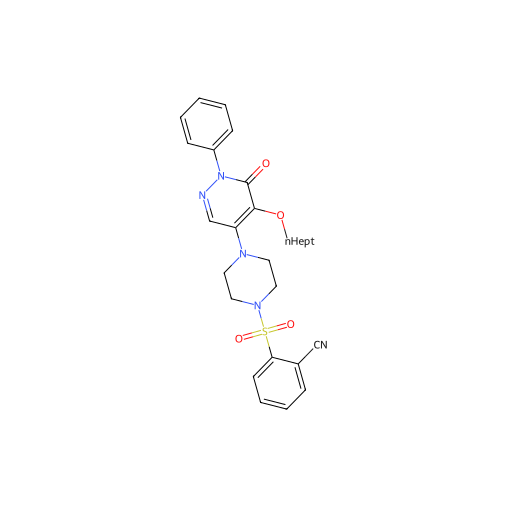 CCCCCCCOc1c(N2CCN(S(=O)(=O)c3ccccc3C#N)CC2)cnn(-c2ccccc2)c1=O